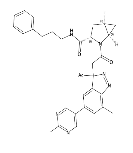 CC(=O)C1(CC(=O)N2[C@H](C(=O)NCCCc3ccccc3)C[C@@]3(C)C[C@@H]23)N=Nc2c(C)cc(-c3cnc(C)nc3)cc21